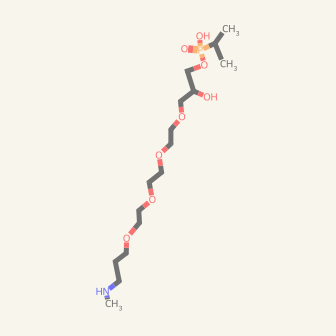 CNCCCOCCOCCOCCOCC(O)COP(=O)(O)C(C)C